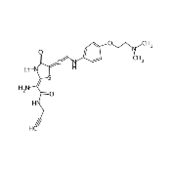 C#CCNC(=O)/C(N)=c1\sc(=C=CNc2ccc(OCCN(C)C)cc2)c(=O)n1CC